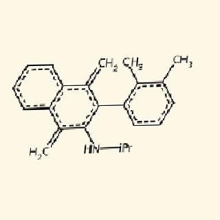 C=c1c(NC(C)C)c(-c2cccc(C)c2C)c(=C)c2ccccc12